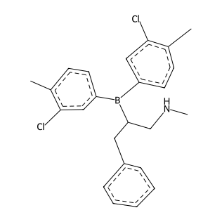 CNCC(Cc1ccccc1)B(c1ccc(C)c(Cl)c1)c1ccc(C)c(Cl)c1